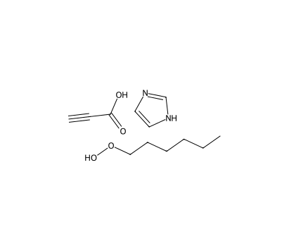 C#CC(=O)O.CCCCCCOO.c1c[nH]cn1